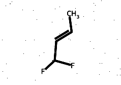 CC=C[C](F)F